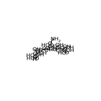 CC(O[C@@H]1OC(CO)[C@@H](O[C@H]2OC3O[C@@H]3C(O)[C@@H]2O)C(O)C1O)[C@H]1OC1O[C@H](C)OC1[C@@H](O)C(CO[C@H]2C(O)[C@H](O)C(CO[C@H]3OC(C(=O)O)[C@@H](O)C(O)C3O)O[C@@H]2O)O[C@@H](OCCCN)[C@H]1O